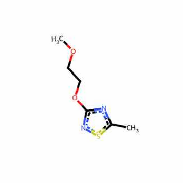 COCCOc1nsc(C)n1